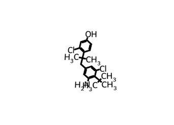 CC(C)(C)c1c(N)cc(CC(C)(C)c2ccc(O)cc2Cl)cc1Cl